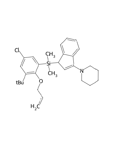 C=CCOc1c(C(C)(C)C)cc(Cl)cc1[Si](C)(C)C1C=C(N2CCCCC2)c2ccccc21